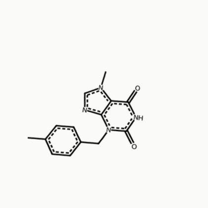 Cc1ccc(Cn2c(=O)[nH]c(=O)c3c2ncn3C)cc1